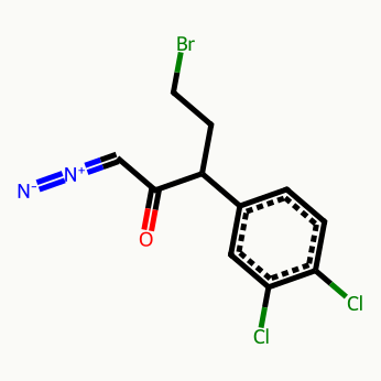 [N-]=[N+]=CC(=O)C(CCBr)c1ccc(Cl)c(Cl)c1